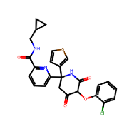 O=C(NCC1CC1)c1cccc(C2(c3ccsc3)CC(=O)C(Oc3ccccc3Cl)C(=O)N2)n1